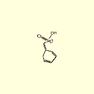 O=S(=O)(O)/C=C1\C=CC=[C]C1